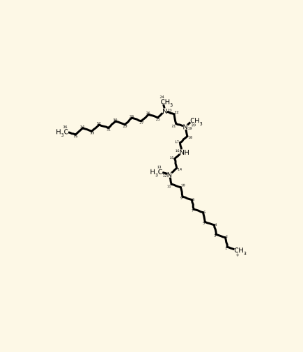 CCCCCCCCCCCCN(C)CCNCCN(C)CCN(C)CCCCCCCCCCCC